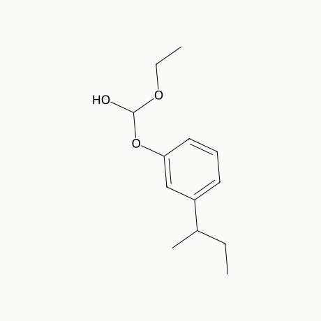 CCOC(O)Oc1cccc(C(C)CC)c1